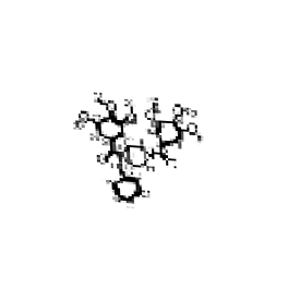 COc1cc(C(=O)N2CC[N+](Cc3ccccc3)(C(=O)c3cc(OC)c(OC)c(OC)c3)CC2)cc(OC)c1OC